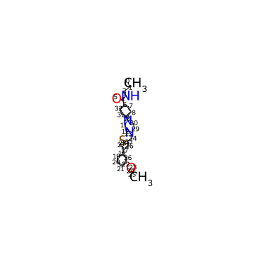 CCCNC(=O)c1ccc(N2CCN(Cc3cc(-c4cccc(OCC)c4)cs3)CC2)cc1